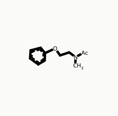 CC(=O)N(C)CCOc1c[c]ccc1